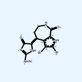 CC(=O)NC1=NC(=O)/C(=C2\CCNC(=O)c3[nH]c(Br)c(Br)c32)N1